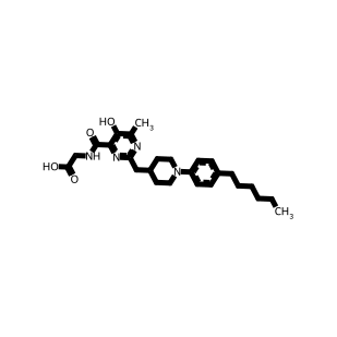 CCCCCCc1ccc(N2CCC(Cc3nc(C)c(O)c(C(=O)NCC(=O)O)n3)CC2)cc1